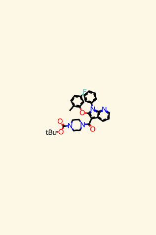 Cc1ccc(F)cc1Oc1c(C(=O)N2CCN(C(=O)OC(C)(C)C)CC2)c2cccnc2n1-c1ccccc1